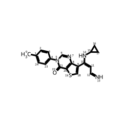 Cc1ccc(-n2cnc3c(/C(=C\C=N)NC4CC4)csc3c2=O)cc1